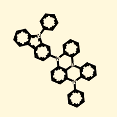 c1ccc(N2c3ccccc3B3c4ccccc4N(c4ccc5c6ccccc6n(-c6ccccc6)c5c4)c4cccc2c43)cc1